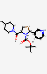 CC1CCN(C(=O)C2CSC(c3cccnc3)N2C(=O)OC(C)(C)C)CC1